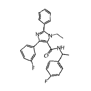 CCn1c(-c2ccccc2)nc(-c2cccc(F)c2)c1C(=O)NC(C)c1ccc(F)cc1